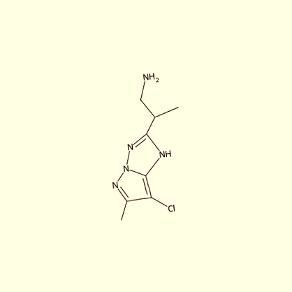 Cc1nn2nc(C(C)CN)[nH]c2c1Cl